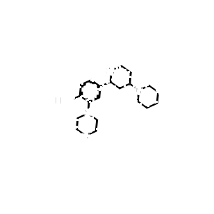 Cc1ccc(C2CC(N3CCCCC3)CCN2)cc1N1CCNCC1